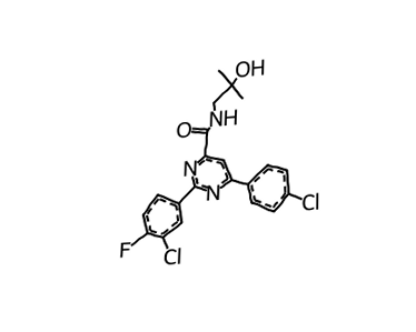 CC(C)(O)CNC(=O)c1cc(-c2ccc(Cl)cc2)nc(-c2ccc(F)c(Cl)c2)n1